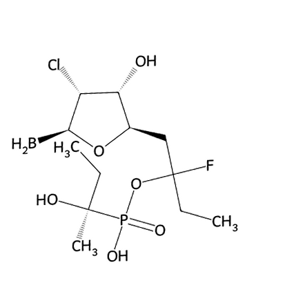 B[C@@H]1O[C@H](CC(F)(CC)OP(=O)(O)[C@@](C)(O)CC)[C@@H](O)[C@H]1Cl